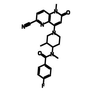 CC1CN(c2cc(=O)n(C)c3ccc(C#N)nc23)CCC1N(C)C(=O)c1ccc(F)cc1